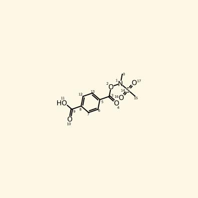 CN(OC(=O)c1ccc(C(=O)O)cc1)S(C)(=O)=O